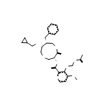 COc1ccnc(C(=O)N[C@H]2COC[C@H](OCC3CC3)[C@@H](Cc3ccccc3)[C@H](C)OC2=O)c1OCOC(C)=O